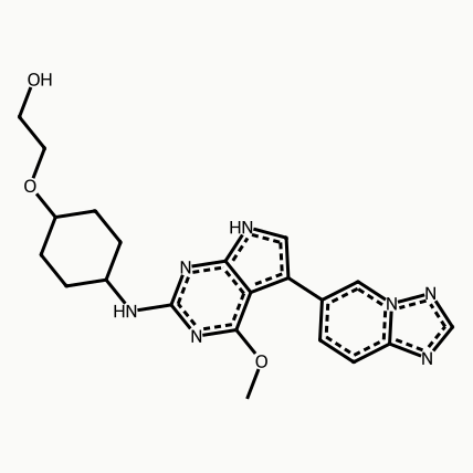 COc1nc(NC2CCC(OCCO)CC2)nc2[nH]cc(-c3ccc4ncnn4c3)c12